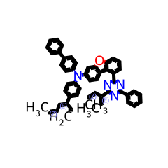 C=C/C(=C\C=C/C)c1ccc(N(c2ccc(-c3ccccc3)cc2)c2ccc3c(c2)oc2cccc(-c4nc(C(/C=C\C)=C/C)nc(-c5ccccc5)n4)c23)cc1